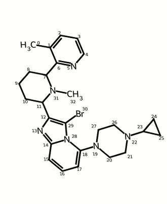 Cc1cccnc1C1CCCC(c2nc3cccc(N4CCN(C5CC5)CC4)n3c2Br)N1C